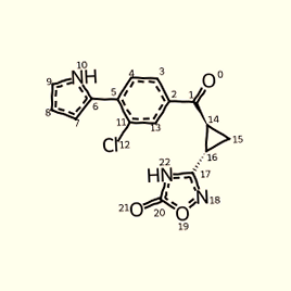 O=C(c1ccc(-c2ccc[nH]2)c(Cl)c1)[C@H]1C[C@@H]1c1noc(=O)[nH]1